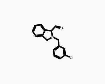 O=CC1c2ccccc2CN1Cc1cccc(Cl)c1